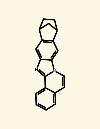 c1ccc2c(c1)ccn1c3cc4c(cc3nc21)C1CCC4C1